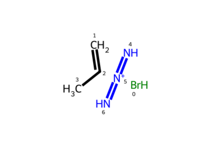 Br.C=CC.N=[N+]=N